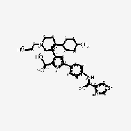 CC1CCC(C2=C(c3cc(-c4ccc(NC(=O)c5cscn5)cc4)sc3C(=O)O)CN(CCO)CC2)CC1